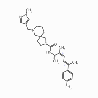 C=C(NC(=O)N1CCC2(CCCN(Cc3cnn(C)c3)C2)C1)/C(N)=C\C=C(/C)c1ccc(P)cc1